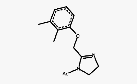 CC(=O)N1CCN=C1COc1cccc(C)c1C